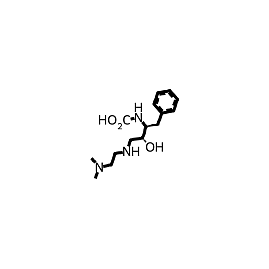 CN(C)CCNC[C@@H](O)[C@H](Cc1ccccc1)NC(=O)O